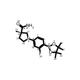 CC1(C)OB(c2ccc(N3CC[C@](C)(C(N)=O)C3)cc2F)OC1(C)C